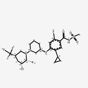 CS(=O)(=O)NC(=O)c1cc(C2CC2)c(O[C@@H]2CCCN(N3C[C@H](C(F)(F)F)C[C@@H](Cl)[C@H]3F)C2)cc1F